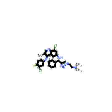 CN(C)CCn1cc([C@@H](Nc2cc(Cl)c3ncc(C#N)c(Nc4ccc(F)c(Cl)c4)c3c2)c2ccccc2)nn1